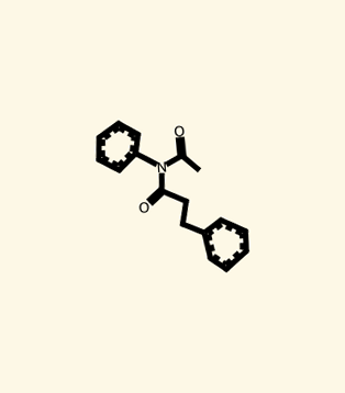 CC(=O)N(C(=O)CCc1ccccc1)c1ccccc1